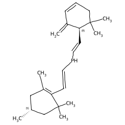 C=C1C=CCC(C)(C)[C@H]1C=CPC=CC1=C(C)C[C@@H](C)CC1(C)C